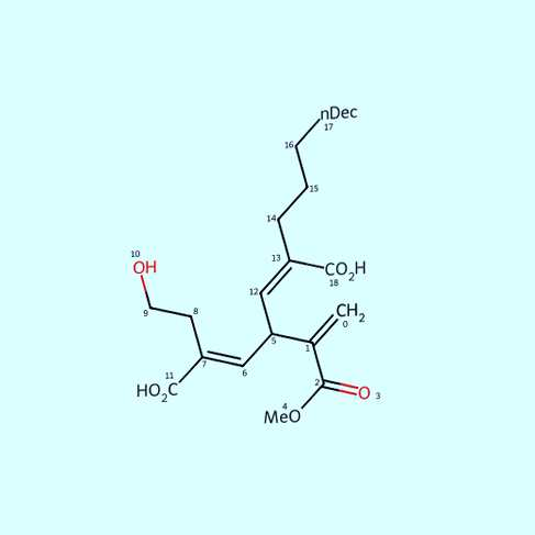 C=C(C(=O)OC)C(C=C(CCO)C(=O)O)C=C(CCCCCCCCCCCCC)C(=O)O